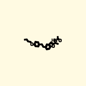 CCCCOc1ccc(CCc2ccc3oc(C(C)NC(C)=O)cc3c2)cc1